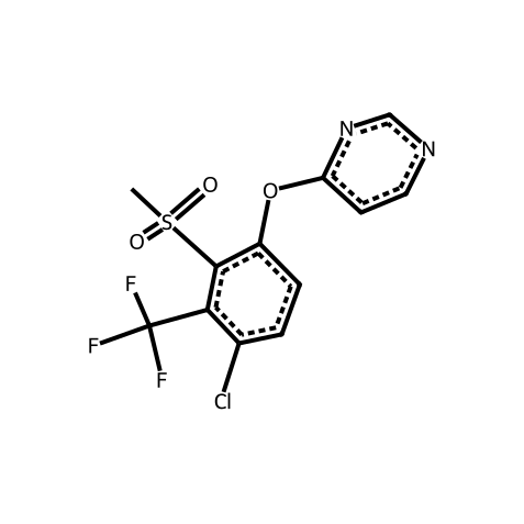 CS(=O)(=O)c1c(Oc2ccncn2)ccc(Cl)c1C(F)(F)F